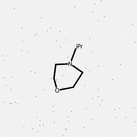 [CH2]C(C)N1CCOCC1